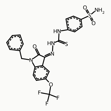 NS(=O)(=O)c1ccc(NC(=S)NN=C2C(=O)N(Cc3ccccc3)c3ccc(OC(F)(F)F)cc32)cc1